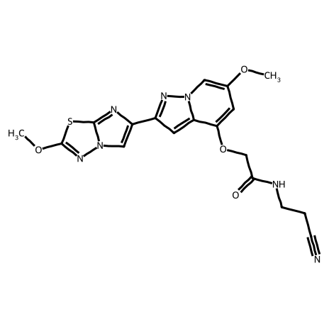 COc1cc(OCC(=O)NCCC#N)c2cc(-c3cn4nc(OC)sc4n3)nn2c1